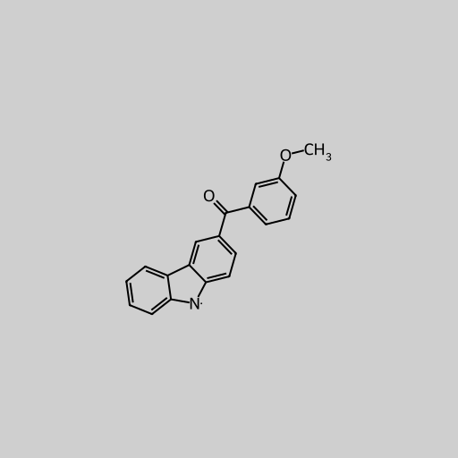 COc1cccc(C(=O)c2ccc3c(c2)-c2ccccc2[N]3)c1